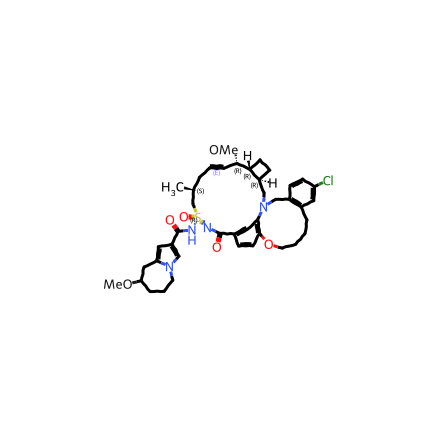 COC1CCCn2cc(C(=O)N[S@@]3(=O)=NC(=O)c4ccc5c(c4)N(Cc4ccc(Cl)cc4CCCCO5)C[C@@H]4CC[C@H]4[C@@H](OC)/C=C/C[C@H](C)C3)cc2C1